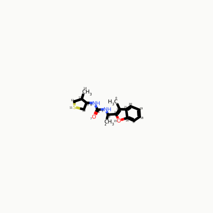 Cc1c(C(C)NC(=O)NC2CSCC2C)oc2ccccc12